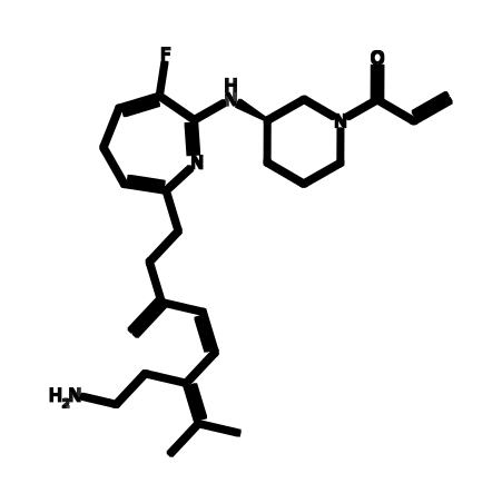 C=CC(=O)N1CCC[C@@H](NC2=NC(CCC(=C)/C=C\C(CCN)=C(C)C)=CCC=C2F)C1